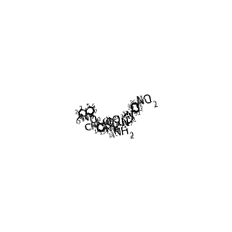 Cc1ccc2cccc(OCc3c(Cl)ccc(N(C)C(=O)[C@@H](N)C(=O)CN4CCN(c5ccc([N+](=O)[O-])cc5)CC4)c3Cl)c2n1